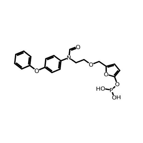 O=CN(CCOCc1ccc(OP(O)O)o1)c1ccc(Oc2ccccc2)cc1